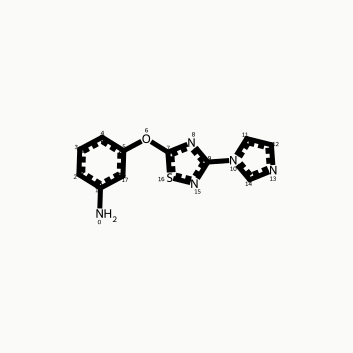 Nc1cccc(Oc2nc(-n3ccnc3)ns2)c1